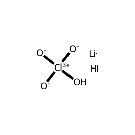 I.[Li].[O-][Cl+3]([O-])([O-])O